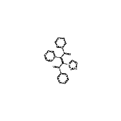 O=C(/C(=C(/C(=O)c1ccccc1)n1ccnn1)c1ccccc1)c1ccccc1